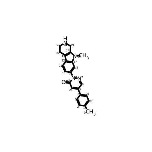 Cc1ccc(-c2cnn(-c3ccc4c5c(n(C)c4c3)CNCC5)c(=O)c2)cc1